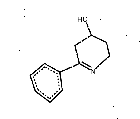 OC1CCN=C(c2ccccc2)C1